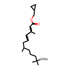 COC(C)(C)CCCC(C)C/C=C/C(C)=C/C(=O)OCC1CC1